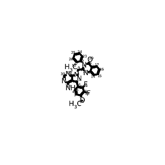 COc1ccc(-c2nn([C@H](C)c3nc4ccccc4c(=O)n3-c3ccccc3)c3ncnc(N)c23)c(F)c1F